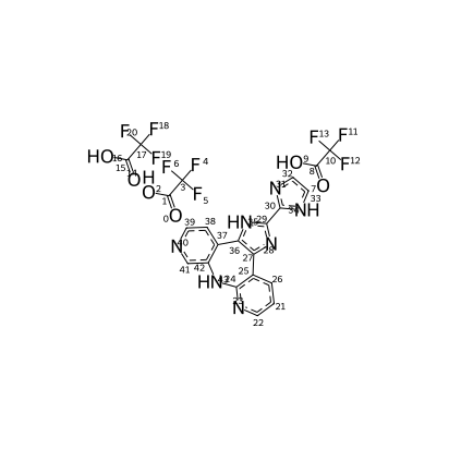 O=C(O)C(F)(F)F.O=C(O)C(F)(F)F.O=C(O)C(F)(F)F.c1cnc2c(c1)-c1nc(-c3ncc[nH]3)[nH]c1-c1ccncc1N2